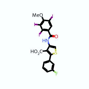 COc1c(I)cc(C(=O)Nc2csc(-c3cccc(F)c3)c2C(=O)O)c(I)c1I